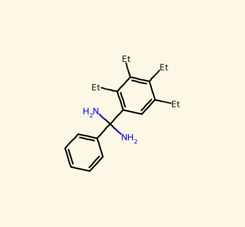 CCc1cc(C(N)(N)c2ccccc2)c(CC)c(CC)c1CC